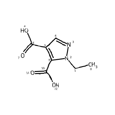 CCn1ncc(C(=O)O)c1C(=O)O